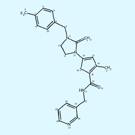 C=C1N(Cc2ccc(C(F)(F)F)cc2)CCN1c1cc(C)c(C(=O)NCc2cccnc2)s1